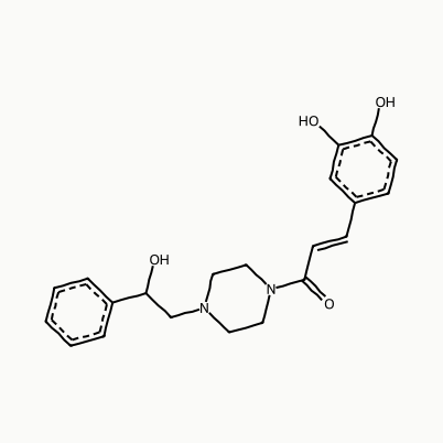 O=C(C=Cc1ccc(O)c(O)c1)N1CCN(CC(O)c2ccccc2)CC1